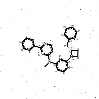 CN(c1ccnc(-c2ccccc2)n1)c1ccnc(N2CC[C@H]2Cc2ccccc2)n1